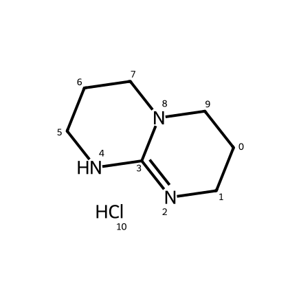 C1CN=C2NCCCN2C1.Cl